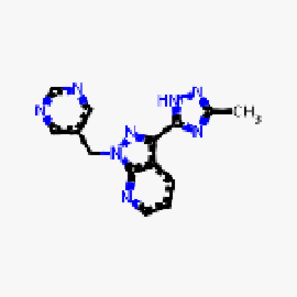 Cc1n[nH]c(-c2nn(Cc3cncnc3)c3ncccc23)n1